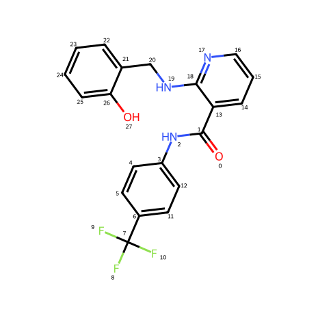 O=C(Nc1ccc(C(F)(F)F)cc1)c1cccnc1NCc1ccccc1O